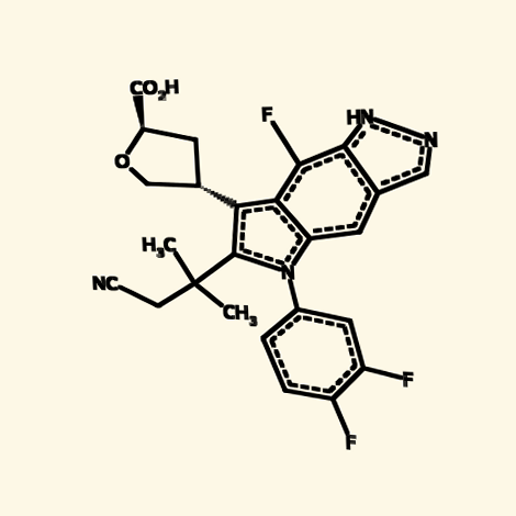 CC(C)(CC#N)c1c([C@@H]2CO[C@@H](C(=O)O)C2)c2c(F)c3[nH]ncc3cc2n1-c1ccc(F)c(F)c1